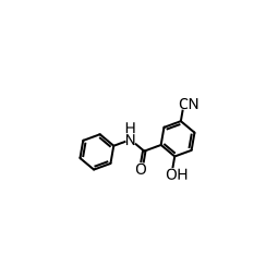 N#Cc1ccc(O)c(C(=O)Nc2ccccc2)c1